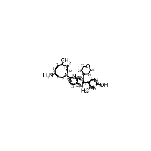 C=C1/C=C\C(N)=C/CN(c2ncc3nc(-c4cnc(O)nc4O)n(C4CCOCC4)c3n2)/C=N\1